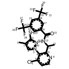 Cc1cn(-c2c(Cl)ccnc2C(C)NC(=O)c2cc(C(F)(F)F)cc(C(F)(F)F)c2)nc1S